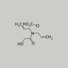 C=CCN(CC=C)C(=O)CO.O=C(O)Cl